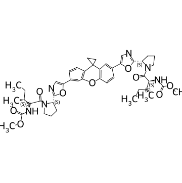 CC[C@H](C)[C@H](NC(=O)OC)C(=O)N1CCC[C@H]1c1ncc(-c2ccc3c(c2)Oc2ccc(-c4cnc([C@@H]5CCCN5C(=O)[C@@H](NC(=O)OC)[C@@H](C)CC)o4)cc2C32CC2)o1